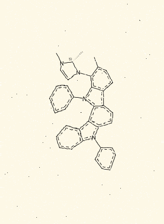 Cc1ccc2c3ccc4c(c5ccccc5n4-c4ccccc4)c3n(-c3ccccc3)c2c1N1C=CN(C)[C@@H]1C